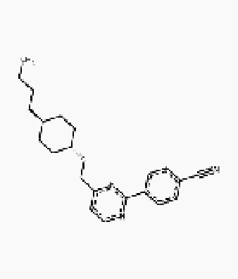 CCCC[C@H]1CC[C@H](CCc2ccnc(-c3ccc(C#N)cc3)n2)CC1